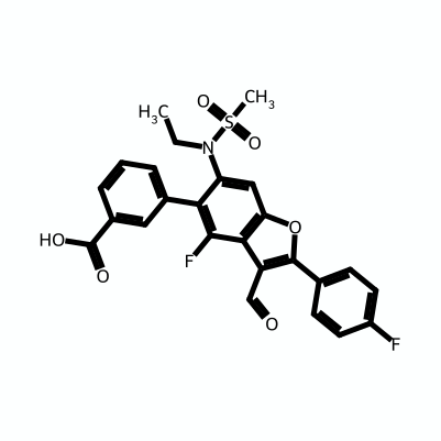 CCN(c1cc2oc(-c3ccc(F)cc3)c(C=O)c2c(F)c1-c1cccc(C(=O)O)c1)S(C)(=O)=O